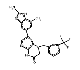 Cc1cc(-c2cnc3c(n2)N(Cc2cccc(C(F)(F)F)c2)CC(=O)N3)cc2nc(N)[nH]c12